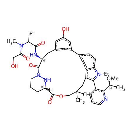 CCn1c(-c2cccnc2[C@H](C)OC)c2c3cc(ccc31)-c1cc(O)cc(c1)C[C@H](NC(=O)C(C(C)C)N(C)C(=O)CO)C(=O)N1CCC[C@H](N1)C(=O)OCC(C)(C)C2